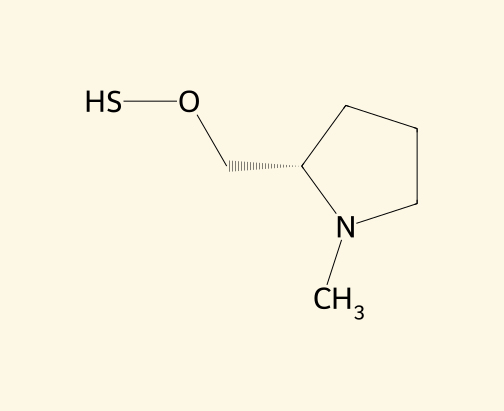 CN1CCC[C@H]1COS